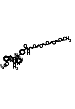 CCOCCOCCOCCOCCOCCNC(=O)[C@H]1CC[C@H](c2nc(-c3cc4cccc(OC)c4[nH]3)c3c(N)ncnn32)CC1